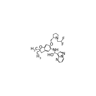 CC1(C)Cc2cc(NC(O)c3cnn4cccnc34)c(OC[C@H]3CCCN3CC(F)F)cc2O1